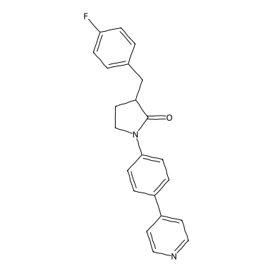 O=C1C(Cc2ccc(F)cc2)CCN1c1ccc(-c2ccncc2)cc1